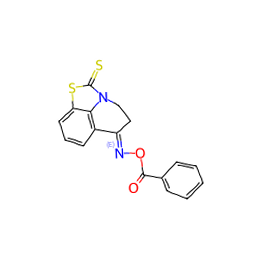 O=C(O/N=C1\CCn2c(=S)sc3cccc1c32)c1ccccc1